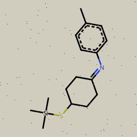 Cc1ccc(N=C2CCC(S[Si](C)(C)C)CC2)cc1